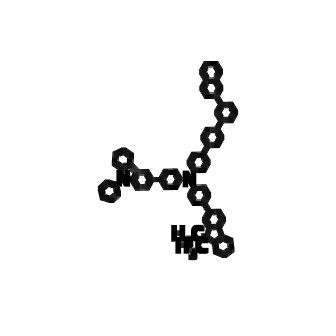 CC1(C)c2ccccc2-c2ccc(-c3ccc(N(c4ccc(-c5ccc(-c6cccc(-c7ccc8ccccc8c7)c6)cc5)cc4)c4ccc(-c5ccc6c(c5)c5ccccc5n6-c5ccccc5)cc4)cc3)cc21